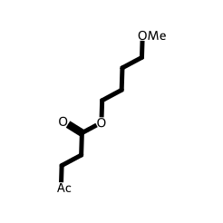 COCCCCOC(=O)CCC(C)=O